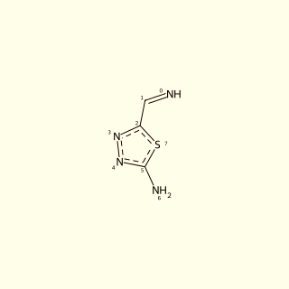 N=Cc1nnc(N)s1